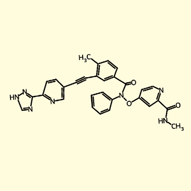 CNC(=O)c1cc(ON(C(=O)c2ccc(C)c(C#Cc3ccc(-c4nc[nH]n4)nc3)c2)c2ccccc2)ccn1